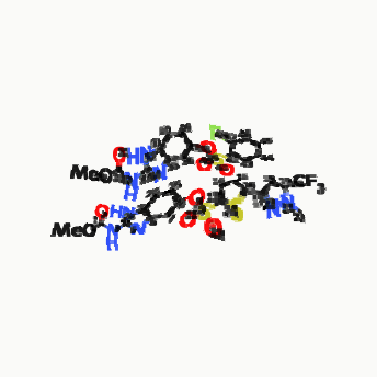 COC(=O)Nc1nc2cc(OS(=O)(=O)c3ccc(-c4cc(C(F)(F)F)n(C)n4)s3)ccc2[nH]1.COC(=O)Nc1nc2cc(OS(=O)(=O)c3ccccc3F)ccc2[nH]1